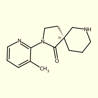 Cc1cccnc1N1CC[C@]2(CCCNC2)C1=O